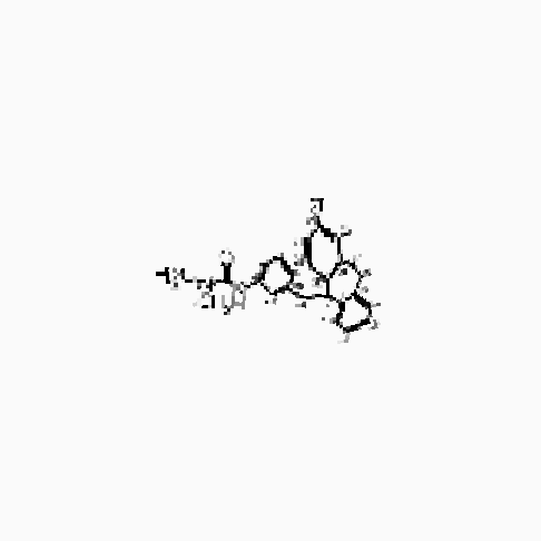 CN(C)C(=O)Nc1cccc(CC2c3ccccc3CCc3cc(Cl)ccc32)c1